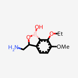 CCOc1c(OC)ccc2c1B(O)OC2CN